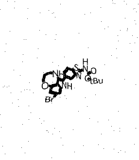 CC(C)(C)OC(=O)Nc1nc2cc(-c3[nH]c4cc(Br)cc5c4c3NCCCO5)ccc2s1